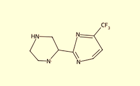 FC(F)(F)c1ccnc(C2CNCC[N]2)n1